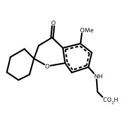 COc1cc(NCC(=O)O)cc2c1C(=O)CC1(CCCCC1)O2